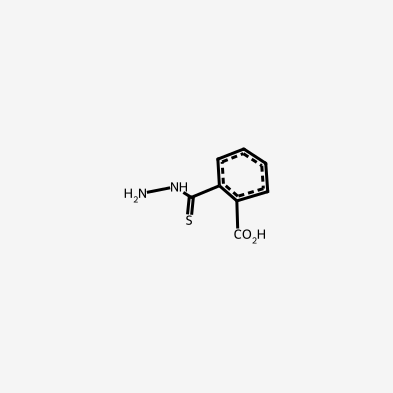 NNC(=S)c1ccccc1C(=O)O